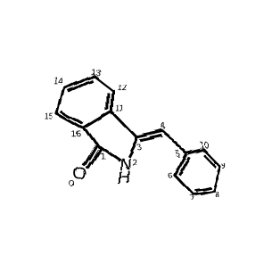 O=C1NC(=Cc2ccccc2)c2ccccc21